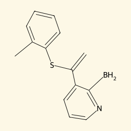 Bc1ncccc1C(=C)Sc1ccccc1C